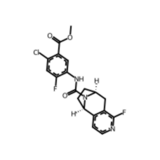 COC(=O)c1cc(NC(=O)N2[C@H]3CC[C@@H]2c2ccnc(F)c2C3)c(F)cc1Cl